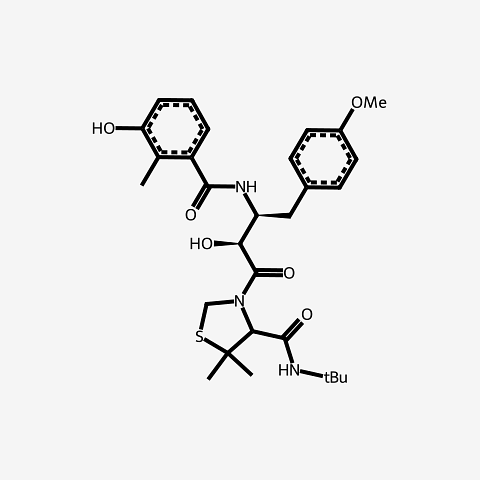 COc1ccc(C[C@H](NC(=O)c2cccc(O)c2C)[C@H](O)C(=O)N2CSC(C)(C)C2C(=O)NC(C)(C)C)cc1